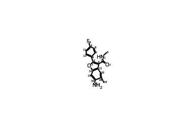 CNC(=O)c1c(-c2ccc(F)cc2)oc2cc(N)c(C)cc12